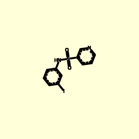 O=S(=O)(Nc1cccc(I)c1)c1cccnc1